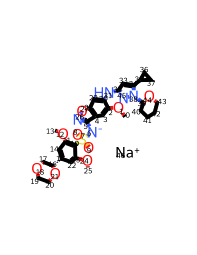 COc1cc2c([N-]S(=O)(=O)c3c(OC)cc([C@H]4COCCO4)cc3OC)noc2cc1Nc1cc(C2CC2)n(C2CCCCO2)n1.[Na+]